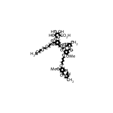 C=C1C[C@H]2C=Nc3cc(OCCCCCOc4cc5c(cc4OC)C(=O)N4CC(=C)C[C@H]4C(O)N5C(=O)OCc4ccc(O[C@@H]5OC(C(=O)O)[C@@H](O)[C@H](O)[C@H]5O)c(C(=O)NCCOCCOCCON)c4)c(OC)cc3C(=O)N2C1